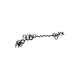 CC(C)(C)CC(C)(C)C(C)(C)C(=O)OCCCCCCCCCCCOc1ccc2cc(-c3ccc(S(=O)(=O)C(F)(F)F)cc3)c(=O)oc2n1